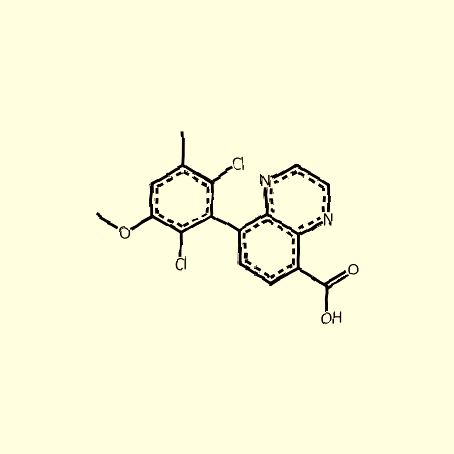 COc1cc(C)c(Cl)c(-c2ccc(C(=O)O)c3nccnc23)c1Cl